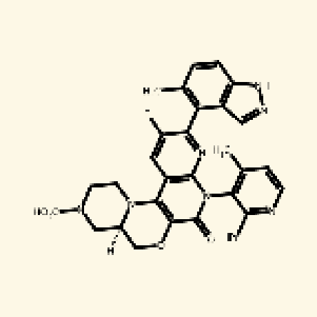 Cc1ccnc(C(C)C)c1-n1c(=O)c2c(c3cc(F)c(-c4c(C)ccc5[nH]ncc45)nc31)N1CCN(C(=O)O)C[C@@H]1CO2